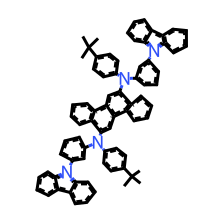 CC(C)(C)c1ccc(N(c2cccc(-n3c4ccccc4c4ccccc43)c2)c2cc3c4ccccc4c(N(c4ccc(C(C)(C)C)cc4)c4cccc(-n5c6ccccc6c6ccccc65)c4)cc3c3ccccc23)cc1